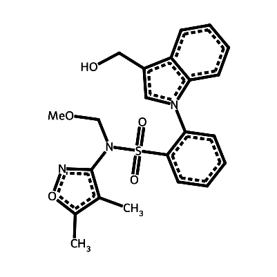 COCN(c1noc(C)c1C)S(=O)(=O)c1ccccc1-n1cc(CO)c2ccccc21